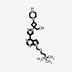 C[Si](C)(C)CCOCn1ccc2c(-c3cnn(C4(CC#N)CC(N5CCNCC5)C4)c3)ncnc21